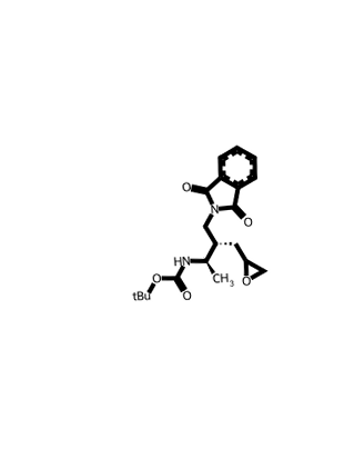 C[C@@H](NC(=O)OC(C)(C)C)[C@@H](CC1CO1)CN1C(=O)c2ccccc2C1=O